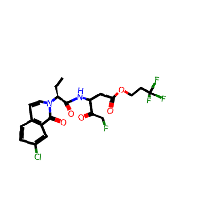 CC[C@@H](C(=O)NC(CC(=O)OCCC(F)(F)F)C(=O)CF)n1ccc2ccc(Cl)cc2c1=O